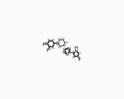 Fc1c[nH]c(-c2noc([C@H]3CCCN(c4ccc(F)c(F)c4)C3)n2)c1